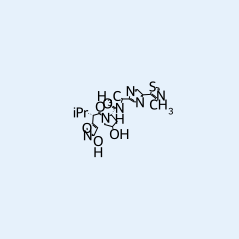 Cc1ncsc1-c1cnc([C@H](C)NC(=O)[C@@H]2C[C@@H](O)CN2C(=O)[C@H](c2cc(O)no2)C(C)C)cn1